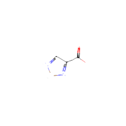 O=C(O)c1cnsn1